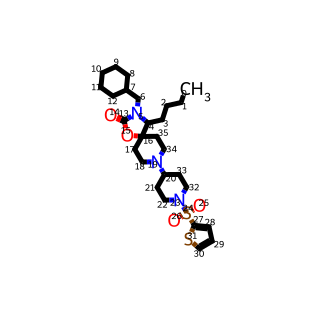 CCCCC1N(CC2CCCCC2)C(=O)OC12CCN(C1CCN(S(=O)(=O)c3cccs3)CC1)CC2